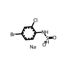 O=[SH](=O)Nc1ccc(Br)cc1Cl.[Na]